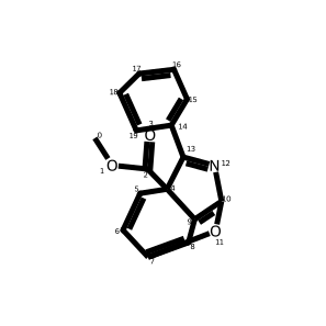 COC(=O)C12C=Cc3cc1c(o3)N=C2c1ccccc1